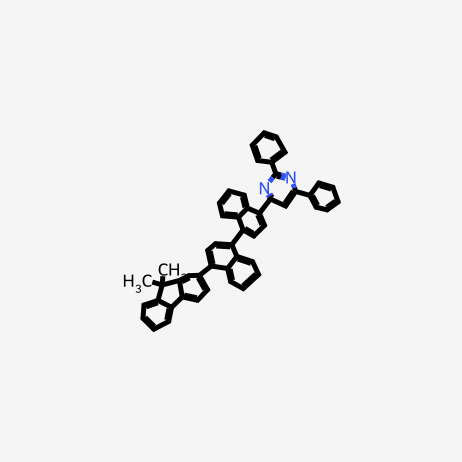 CC1(C)c2ccccc2-c2ccc(-c3ccc(-c4ccc(-c5cc(-c6ccccc6)nc(-c6ccccc6)n5)c5ccccc45)c4ccccc34)cc21